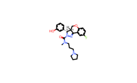 CN(CCCN1CCCC1)C(=O)N1N=C2c3cc(F)ccc3OC[C@H]2[C@H]1c1cccc(O)c1